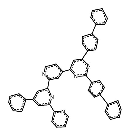 c1ccc(-c2ccc(-c3cc(-c4ccnc(-c5cc(-c6ccccc6)cc(-c6ccccn6)n5)c4)nc(-c4ccc(-c5ccccc5)cc4)n3)cc2)cc1